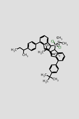 CCC1=Cc2c(-c3ccc(C(C)CC)cc3)cccc2[CH]1[Zr]([Cl])([Cl])([CH]1C(C(C)C)=Cc2c(-c3ccc(C(C)(C)C)cc3)cccc21)[SiH](C)C